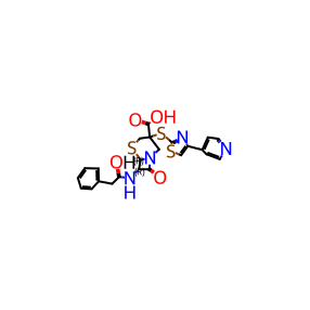 O=C(Cc1ccccc1)N[C@@H]1C(=O)N2CC(Sc3nc(-c4ccncc4)cs3)(C(=O)O)CS[C@H]12